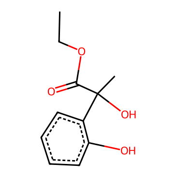 CCOC(=O)C(C)(O)c1ccccc1O